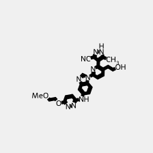 COCCOc1ccc(Nc2ccc3c(c2)ncn3-c2ccc(CCO)c(-c3c(C#N)n[nH]c3C)n2)nn1